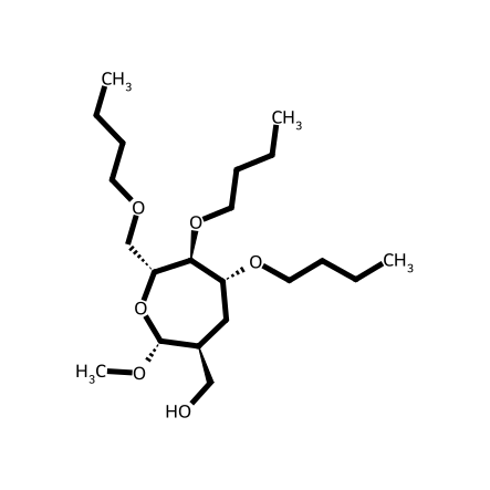 CCCCOC[C@H]1O[C@@H](OC)[C@H](CO)C[C@@H](OCCCC)[C@@H]1OCCCC